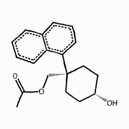 CC(=O)OC[C@]1(c2cccc3ccccc32)CC[C@H](O)CC1